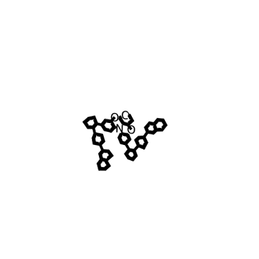 c1cc2c3c(c1)Oc1cc(-c4ccccc4-c4ccc(-c5ccc6ccccc6c5)cc4)ccc1N3c1ccc(-c3ccccc3-c3ccc(-c4ccc5ccccc5c4)cc3)cc1O2